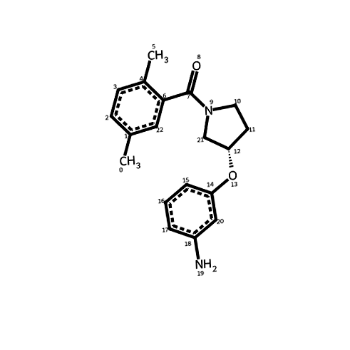 Cc1ccc(C)c(C(=O)N2CC[C@H](Oc3cccc(N)c3)C2)c1